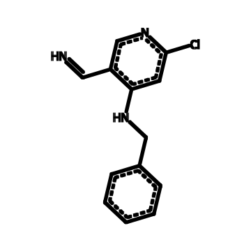 N=Cc1cnc(Cl)cc1NCc1ccccc1